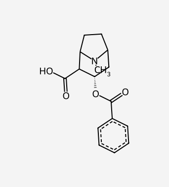 CN1C2CCC1C(C(=O)O)[C@@H](OC(=O)c1ccccc1)C2